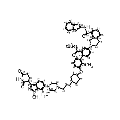 Cc1c(OC2CCC(CCCN3CCN(c4ccc5c(C6CCC(=O)NC6=O)nn(C)c5c4)[C@@H](C(F)(F)F)C3)CC2)cccc1-c1ccc(N2CCc3cccc(C(=O)Nc4nc5ccccc5s4)c3C2)nc1C(=O)OC(C)(C)C